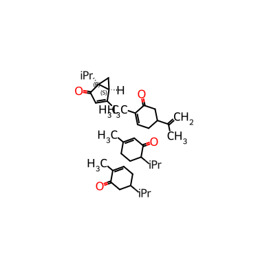 C=C(C)C1CC=C(C)C(=O)C1.CC1=CC(=O)C(C(C)C)CC1.CC1=CC(=O)[C@@]2(C(C)C)C[C@@H]12.CC1=CCC(C(C)C)CC1=O